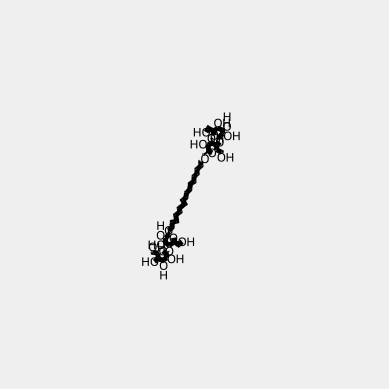 OCC1O[C@H](OC2C(CO)O[C@H](OCCCCCCCCCCCCCCCCCCOC[C@@H]3OC(CO)C(O[C@@H]4OC(CO)C(O)[C@H](O)C4O)[C@H](O)C3O)C(O)[C@@H]2O)C(O)[C@H](O)C1O